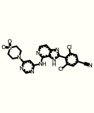 N#Cc1cc(Cl)c(-c2nc3ccnc(Nc4cc(N5CCS(=O)(=O)CC5)ncn4)c3[nH]2)c(Cl)c1